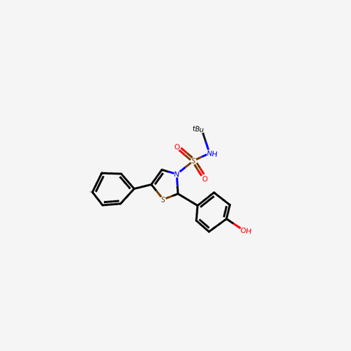 CC(C)(C)NS(=O)(=O)N1C=C(c2cc[c]cc2)SC1c1ccc(O)cc1